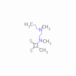 CCCN(C)CCN(C)c1c(C)c(=S)c1=S